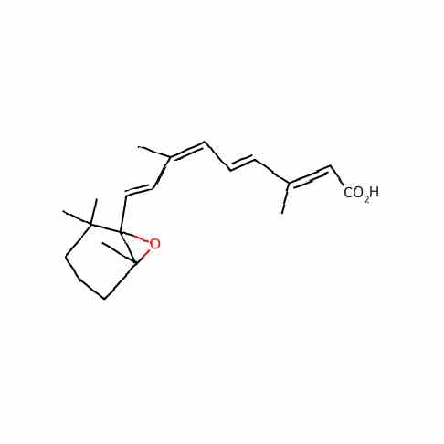 CC(=C/C=C/C(C)=C/C(=O)O)/C=C/C12OC1(C)CCCC2(C)C